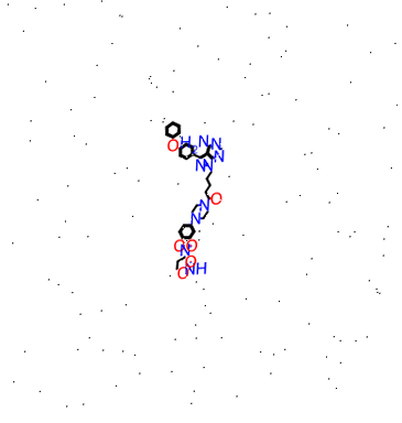 Nc1ncnc2c1c(-c1ccc(Oc3ccccc3)cc1)nn2CCCCC(=O)N1CCN(c2[c]c3c(cc2)ON(C2CCONO2)O3)CC1